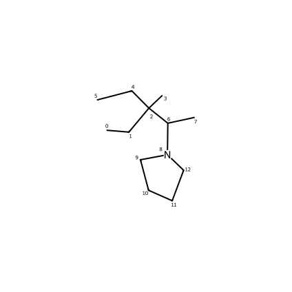 CCC(C)(CC)C(C)N1CCCC1